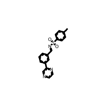 Cc1ccc(S(=O)(=O)/N=C/c2cccc(-c3cnccn3)c2)cc1